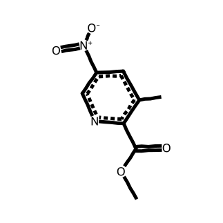 COC(=O)c1ncc([N+](=O)[O-])cc1C